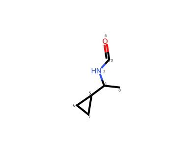 CC(N[C]=O)C1CC1